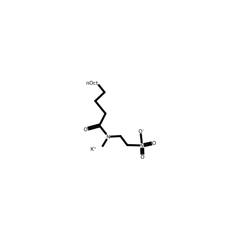 CCCCCCCCCCCC(=O)N(C)CCS(=O)(=O)[O-].[K+]